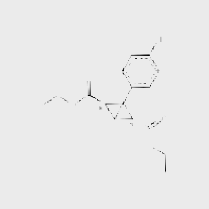 CCOC(=O)[C@@H]1C2[C@@H](C(=O)OCC)C21c1ccc(Cl)cc1